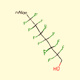 CCCCCCCCCC(F)(F)C(F)(F)C(F)(F)C(F)(F)C(F)(F)C(F)(F)CO